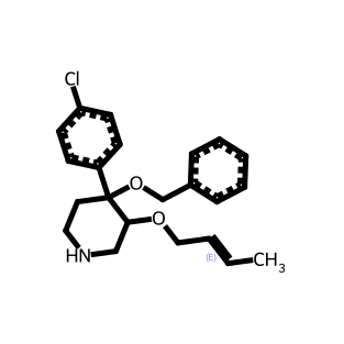 C/C=C/COC1CNCCC1(OCc1ccccc1)c1ccc(Cl)cc1